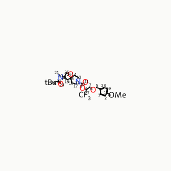 COc1ccc(COCC(OC(=O)N2CCC3(CC2)C[C@@H](N(C)C(=O)C(C)(C)C)CO3)C(F)(F)F)cc1